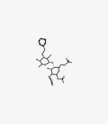 CC(=O)OCC1OC(OC(C)=O)C(N=[N+]=[N-])[C@@H](C)[C@@H]1O[C@@H]1OC(C)[C@@H](C)[C@@H](OCc2ccccc2)C1C